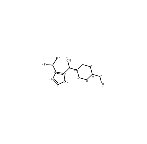 N#CC(c1scnc1C(F)F)N1CCC(CO)CC1